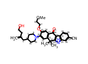 C=C(CCO)CC1CCN(c2cc3c(cc2OCCOC)C(=O)c2c([nH]c4cc(C#N)ccc24)C3(C)C)CC1